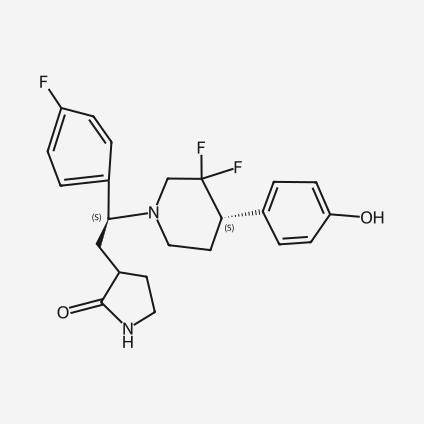 O=C1NCCC1C[C@@H](c1ccc(F)cc1)N1CC[C@@H](c2ccc(O)cc2)C(F)(F)C1